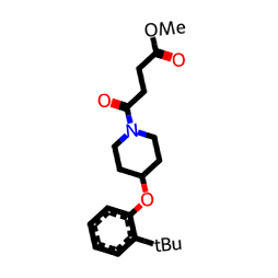 COC(=O)CCC(=O)N1CCC(Oc2ccccc2C(C)(C)C)CC1